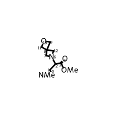 CNCC(C(=O)OC)N1CC2(COC2)C1